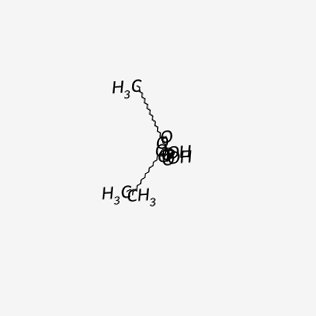 CCCCCCCCCCCCCCCCCCCC(=O)OC[C@H](COP(=O)(O)O)OC(=O)CCCCCCCCCCCCC(C)CC